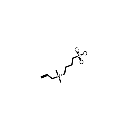 C=CC[N+](C)(C)CCCCS(=O)(=O)[O-]